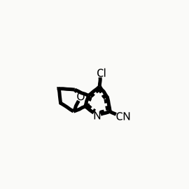 N#Cc1cc(Cl)c2c(n1)C1CCC2O1